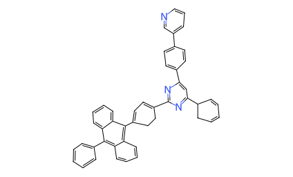 C1=CCC(c2cc(-c3ccc(-c4cccnc4)cc3)nc(C3=CC=C(c4c5ccccc5c(-c5ccccc5)c5ccccc45)CC3)n2)C=C1